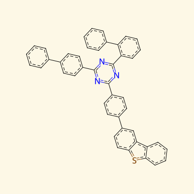 c1ccc(-c2ccc(-c3nc(-c4ccc(-c5ccc6sc7ccccc7c6c5)cc4)nc(-c4ccccc4-c4ccccc4)n3)cc2)cc1